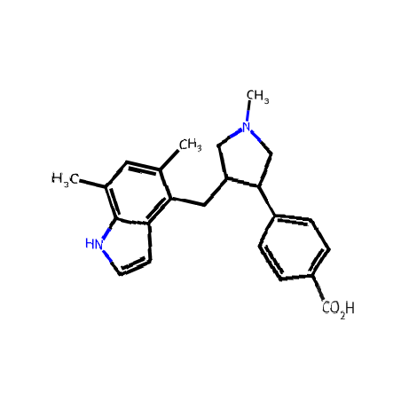 Cc1cc(C)c2[nH]ccc2c1CC1CN(C)CC1c1ccc(C(=O)O)cc1